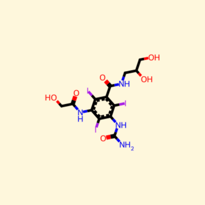 NC(=O)Nc1c(I)c(NC(=O)CO)c(I)c(C(=O)NCC(O)CO)c1I